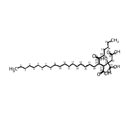 CCCCCCCCCCCCCCCCCCCC(C(=O)CCCCC)C(C(=O)O)C(O)(CC(=O)O)C(=O)O